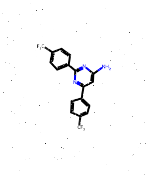 Nc1cc(-c2ccc(C(F)(F)F)cc2)nc(-c2ccc(C(F)(F)F)cc2)n1